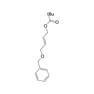 CC(C)(C)C(=O)OCC=CCOCc1ccccc1